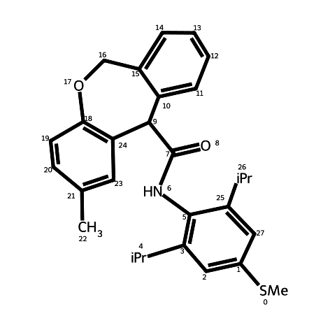 CSc1cc(C(C)C)c(NC(=O)C2c3ccccc3COc3ccc(C)cc32)c(C(C)C)c1